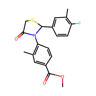 COC(=O)c1ccc(N2C(=O)CSC2c2ccc(F)c(C)c2)c(C)c1